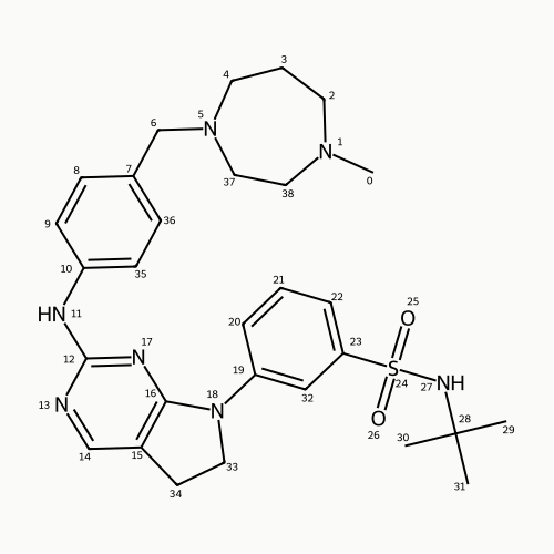 CN1CCCN(Cc2ccc(Nc3ncc4c(n3)N(c3cccc(S(=O)(=O)NC(C)(C)C)c3)CC4)cc2)CC1